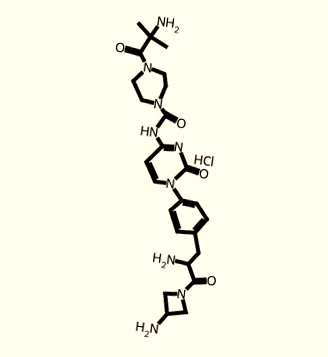 CC(C)(N)C(=O)N1CCN(C(=O)Nc2ccn(-c3ccc(CC(N)C(=O)N4CC(N)C4)cc3)c(=O)n2)CC1.Cl